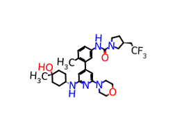 Cc1ccc(NC(=O)N2CC[C@@H](CC(F)(F)F)C2)cc1-c1cc(N[C@H]2CC[C@@](C)(O)CC2)nc(N2CCOCC2)c1